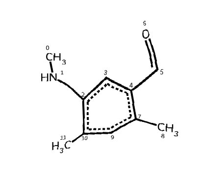 CNc1cc(C=O)c(C)cc1C